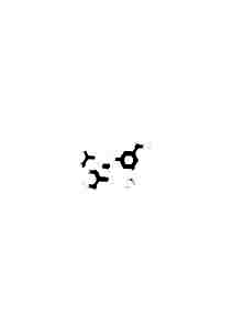 CC(C)[C@@H](C)Nc1nc(Nc2cc(OS(C)(=O)=O)cc(C(N)=O)c2)ncc1C(N)=O